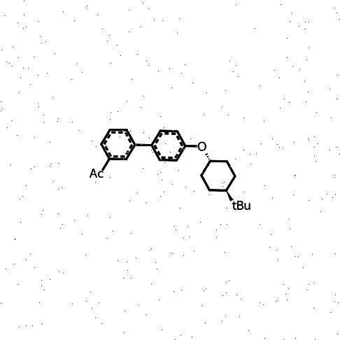 CC(=O)c1cccc(-c2ccc(O[C@H]3CC[C@H](C(C)(C)C)CC3)cc2)c1